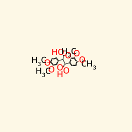 COc1ccc(C(C(=O)O)C(C(=O)O)c2ccc(OC)c(OC)c2)cc1OC